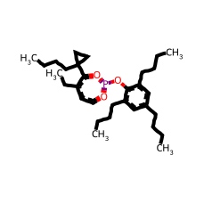 CCCCc1cc(CCCC)c(Op2occc(CC)c(C3(CCCC)CC3)o2)c(CCCC)c1